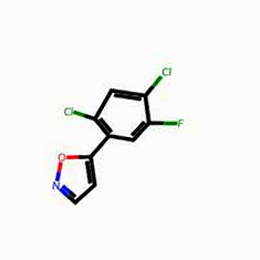 Fc1cc(-c2ccno2)c(Cl)cc1Cl